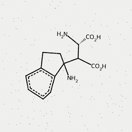 N[C@H](C(=O)O)C(C(=O)O)C1(N)CCc2ccccc21